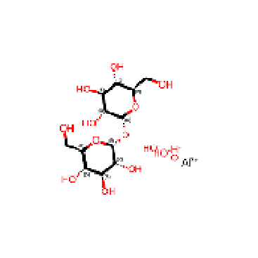 OC[C@H]1O[C@H](O[C@H]2O[C@H](CO)[C@@H](O)[C@H](O)[C@H]2O)[C@H](O)[C@@H](O)[C@@H]1O.[Al+3].[OH-].[OH-].[OH-]